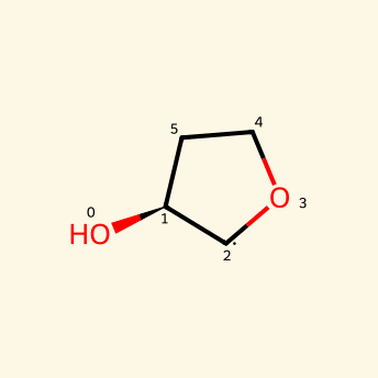 O[C@@H]1[CH]OCC1